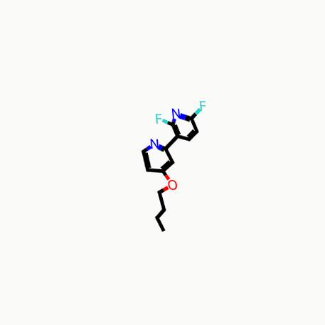 CCCCOc1ccnc(-c2ccc(F)nc2F)c1